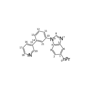 CCCc1ccc2c(c1)ncn2-c1cccc(-c2cccnc2)c1